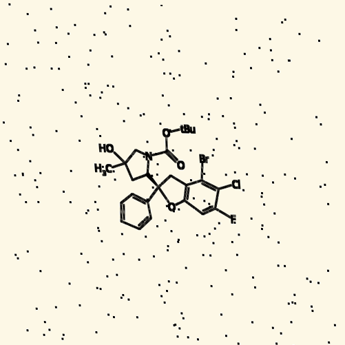 CC1(O)CC([C@@]2(c3ccccc3)Cc3c(cc(F)c(Cl)c3Br)O2)N(C(=O)OC(C)(C)C)C1